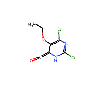 CCOC1=C(Cl)N=C(Cl)NC1=C=O